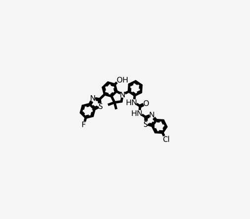 CC1(C)CN(c2ccccc2NC(=O)Nc2nc3ccc(Cl)cc3s2)c2c(O)ccc(-c3nc4ccc(F)cc4s3)c21